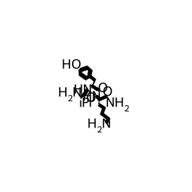 CC(C)[C@H](N)C(=O)N[C@@H](Cc1ccc(O)cc1)C(=O)N[C@@H](CCCCN)C(N)=O